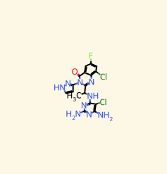 CC(Nc1nc(N)nc(N)c1Cl)c1nc2c(Cl)cc(F)cc2c(=O)n1-c1cc[nH]n1